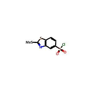 CSc1nc2cc(S(=O)(=O)Cl)ccc2s1